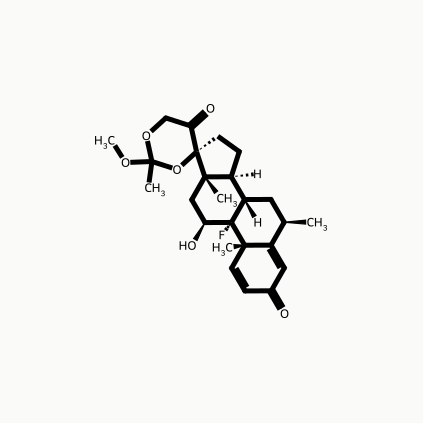 COC1(C)OCC(=O)[C@]2(CC[C@H]3[C@@H]4C[C@@H](C)C5=CC(=O)C=C[C@]5(C)[C@@]4(F)[C@@H](O)C[C@@]32C)O1